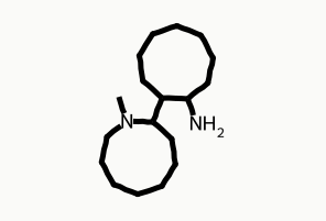 CN1CCCCCCCC1C1CCCCCCCC1N